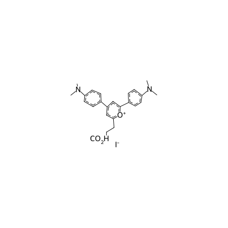 CN(C)c1ccc(-c2cc(CCC(=O)O)[o+]c(-c3ccc(N(C)C)cc3)c2)cc1.[I-]